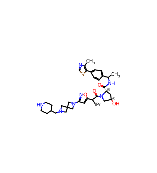 Cc1ncsc1-c1ccc(C(C)NC(=O)[C@@H]2C[C@@H](O)CN2C(=O)C(c2cc(N3CC4(CN(CC5CCNCC5)C4)C3)no2)C(C)C)cc1